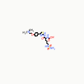 CN(C)CCOc1ccc(-c2csc(NC(=O)C(CCCCNS(N)(=O)=O)NC(=O)O)n2)cc1